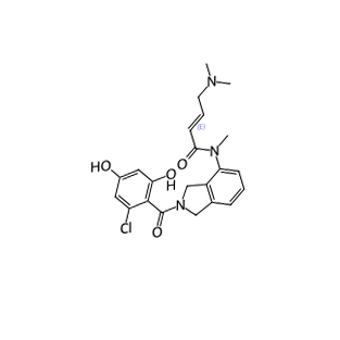 CN(C)C/C=C/C(=O)N(C)c1cccc2c1CN(C(=O)c1c(O)cc(O)cc1Cl)C2